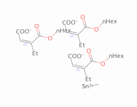 CCCCCCOC(=O)/C(=C\C(=O)[O-])CC.CCCCCCOC(=O)/C(=C\C(=O)[O-])CC.CCCCCCOC(=O)/C(=C\C(=O)[O-])CC.[CH3][Sn+3]